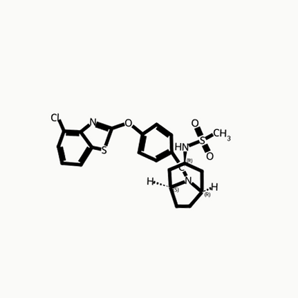 CS(=O)(=O)N[C@H]1C[C@H]2CC[C@@H](C1)N2Cc1ccc(Oc2nc3c(Cl)cccc3s2)cc1